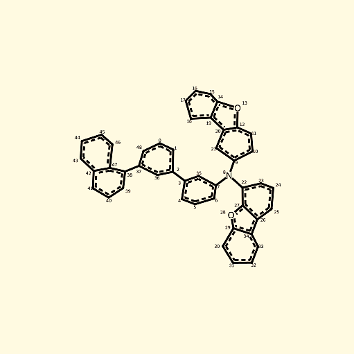 c1cc(-c2cccc(N(c3ccc4oc5ccccc5c4c3)c3cccc4c3oc3ccccc34)c2)cc(-c2cccc3ccccc23)c1